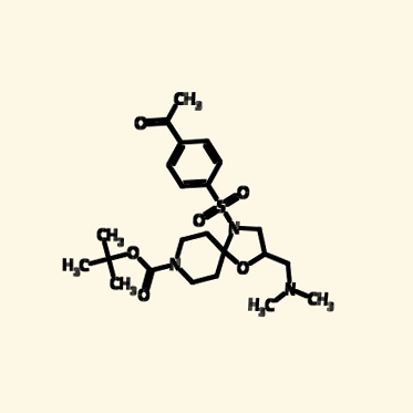 CC(=O)c1ccc(S(=O)(=O)N2CC(CN(C)C)OC23CCN(C(=O)OC(C)(C)C)CC3)cc1